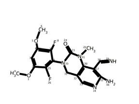 COc1cc(OC)c(F)c(N2Cc3cnc(N)c(C=N)c3N(C)C2=O)c1F